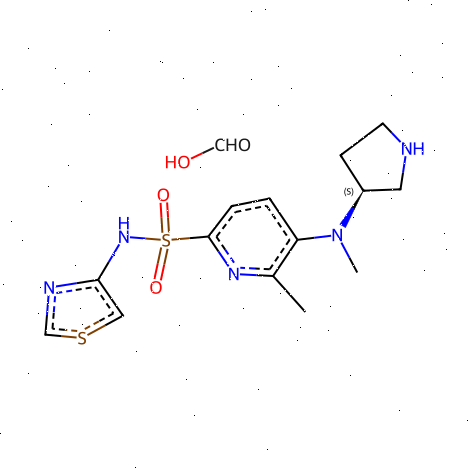 Cc1nc(S(=O)(=O)Nc2cscn2)ccc1N(C)[C@H]1CCNC1.O=CO